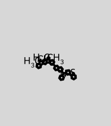 CC1(C)c2ccccc2-c2cc3c(cc21)C(C)(C)c1ccc(-c2ccc4cc(N(c5ccccc5)c5ccc6sc7ccccc7c6c5)ccc4c2)cc1-3